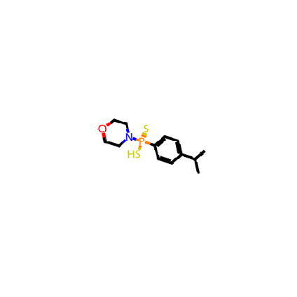 CC(C)c1ccc(P(=S)(S)N2CCOCC2)cc1